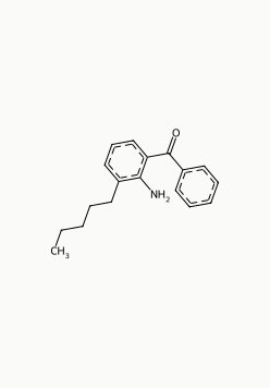 CCCCCc1cccc(C(=O)c2ccccc2)c1N